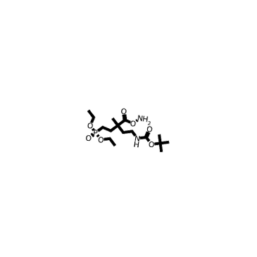 CCOP(=O)(CCC(C)(CCNC(=O)OC(C)(C)C)C(=O)ON)OCC